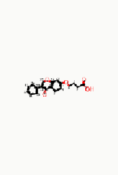 O=C(O)CCCOc1ccc2c(=O)c(-c3ccccc3)coc2c1